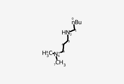 CCCCCNCCC[N+](C)C